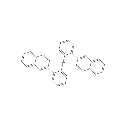 c1ccc(-c2ccc3ccccc3n2)[c]([Ir+][c]2ccccc2-c2ccc3ccccc3n2)c1